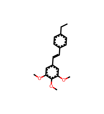 CCc1ccc(C=Cc2cc(OC)c(OC)c(OC)c2)cc1